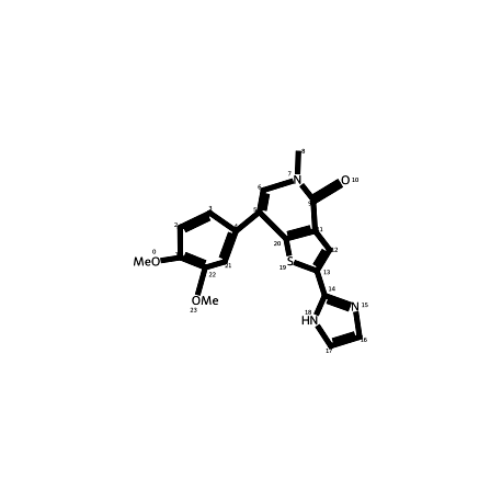 COc1ccc(-c2cn(C)c(=O)c3cc(-c4ncc[nH]4)sc23)cc1OC